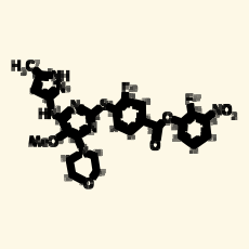 COc1c(Nc2cc(C)[nH]n2)nc(Sc2ccc(C(=O)Oc3cccc([N+](=O)[O-])c3F)cc2F)nc1N1CCOCC1